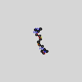 C1=CCC(n2c3ccccc3c3ccc(NC4=CCCC(C5=Cc6c(sc7ccc(-c8ccc9sc%10c(c9c8)C=C(C8=CC(Nc9ccc%11c([nH]c%12ccccc%12%11)c9-c9ccccc9)=CCC8)CC%10)cc67)CC5)=C4)c(-c4ccccc4)c32)C=C1